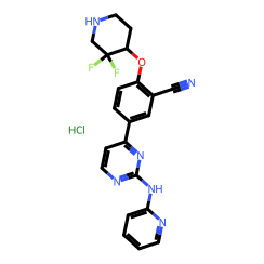 Cl.N#Cc1cc(-c2ccnc(Nc3ccccn3)n2)ccc1OC1CCNCC1(F)F